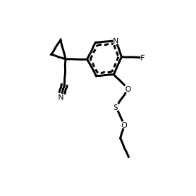 CCOSOc1cc(C2(C#N)CC2)cnc1F